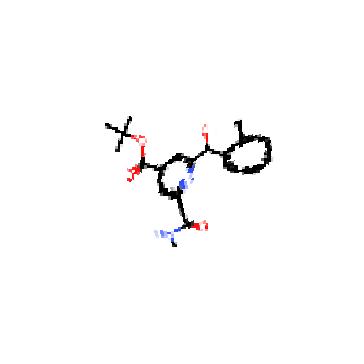 CNC(=O)c1cc(C(=O)OC(C)(C)C)cc(C(O)c2ccccc2C)n1